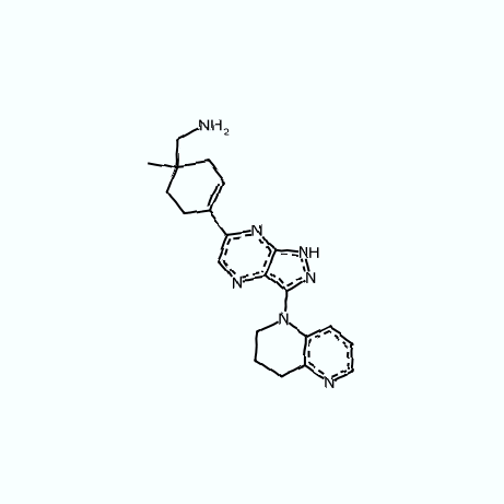 CC1(CN)CC=C(c2cnc3c(N4CCCc5ncccc54)n[nH]c3n2)CC1